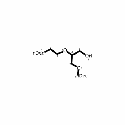 CCCCCCCCCCCCOC(CO)COCCCCCCCCCC